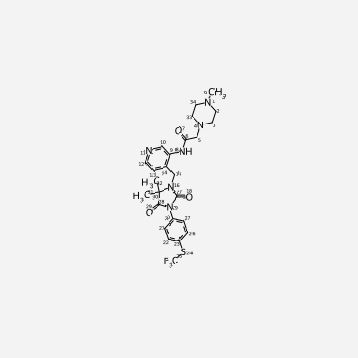 CN1CCN(CC(=O)Nc2cnccc2CN2C(=O)N(c3ccc(SC(F)(F)F)cc3)C(=O)C2(C)C)CC1